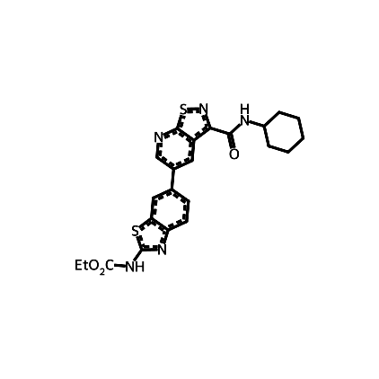 CCOC(=O)Nc1nc2ccc(-c3cnc4snc(C(=O)NC5CCCCC5)c4c3)cc2s1